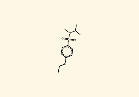 CCOc1ccc(S(=O)(=O)N(C)C(C)C)cc1